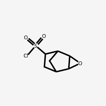 O=S(=O)(Cl)C1CC2CC1C1OC21